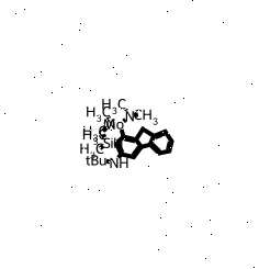 C[N](C)[Mo]([c]1c2c(cc(NC(C)(C)C)c1[SiH](C)C)-c1ccccc1C2)[N](C)C